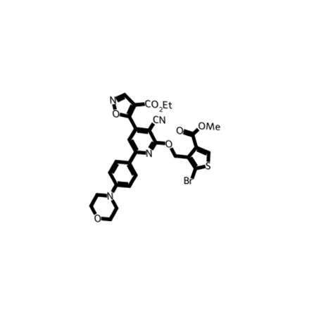 CCOC(=O)c1cnoc1-c1cc(-c2ccc(N3CCOCC3)cc2)nc(OCc2c(C(=O)OC)csc2Br)c1C#N